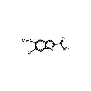 CCCC(=O)c1cc2cc(OC)c(Cl)cc2s1